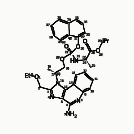 CCOCc1nc2c(N)nc3ccccc3c2n1[C@H](C)COP(=O)(N[C@@H](C)C(=O)OC(C)C)Oc1cccc2ccccc12